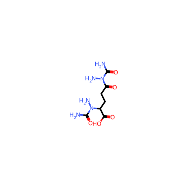 NC(=O)N(N)C(=O)CCC(C(=O)O)N(N)C(N)=O